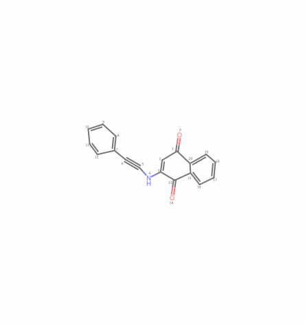 O=C1C=C(NC#Cc2ccccc2)C(=O)c2ccccc21